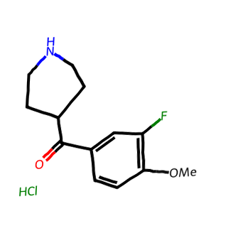 COc1ccc(C(=O)C2CCNCC2)cc1F.Cl